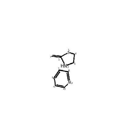 C=C1NCCS1.c1ccncc1